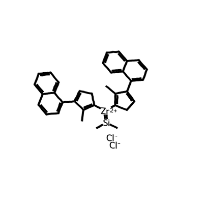 CC1=[C]([Zr+2]([C]2=C(C)C(c3cccc4ccccc34)=CC2)=[Si](C)C)CC=C1c1cccc2ccccc12.[Cl-].[Cl-]